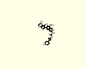 Cc1c(-c2cc3cc(NC(=O)OC4CC(C5CCNCC5)C4)ncc3c(N)c2F)cnc2c1NCCO2